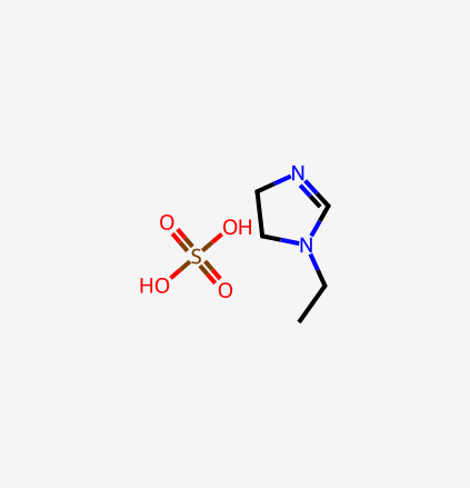 CCN1C=NCC1.O=S(=O)(O)O